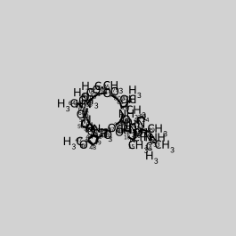 CC[C@H](C)[C@@H]1NC(=O)[C@@H](NC(=O)[C@@H](CC(C)C)N(C)C(=O)[C@@H]2CCCN2C(=O)/C(C)=N/NC(C)C)[C@@H](C)OC(=O)[C@H](Cc2ccc(OC)cc2)N(C)C(=O)[C@@H]2CCCN2C(=O)[C@H](CC(C)C)NC(=O)[C@@H](C)C(=O)[C@H](C(C)C)OC(=O)C[C@@H]1O